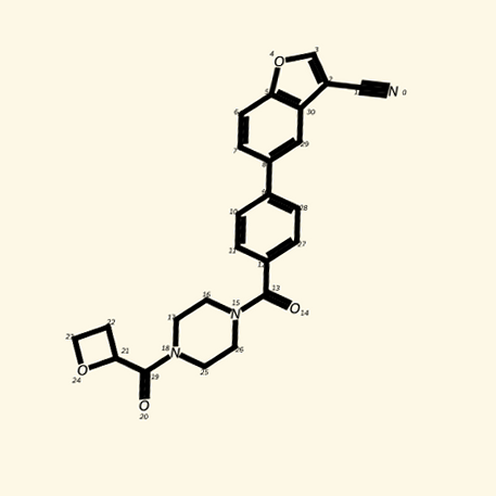 N#Cc1coc2ccc(-c3ccc(C(=O)N4CCN(C(=O)C5CCO5)CC4)cc3)cc12